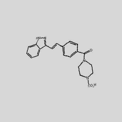 O=C(O)N1CCN(C(=O)c2ccc(C=Cc3n[nH]c4ccccc34)cc2)CC1